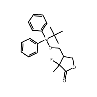 CC1(F)C(=O)OCC1CO[Si](c1ccccc1)(c1ccccc1)C(C)(C)C